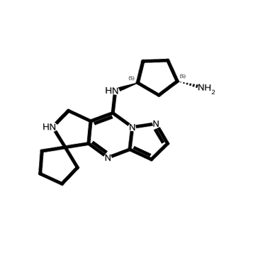 N[C@H]1CC[C@H](Nc2c3c(nc4ccnn24)C2(CCCC2)NC3)C1